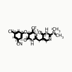 CN(C)c1ncc(Cc2nc(C(F)(F)F)c(Oc3cc(Cl)cc(C#N)c3)c(=O)[nH]2)c(=O)[nH]1